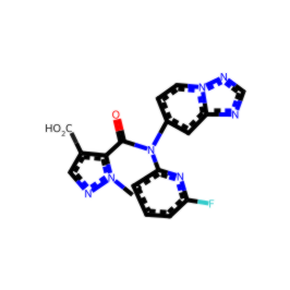 Cn1ncc(C(=O)O)c1C(=O)N(c1ccn2ncnc2c1)c1cccc(F)n1